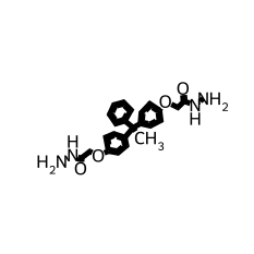 CC(c1ccccc1)(c1ccc(OCC(=O)NN)cc1)c1ccc(OCC(=O)NN)cc1